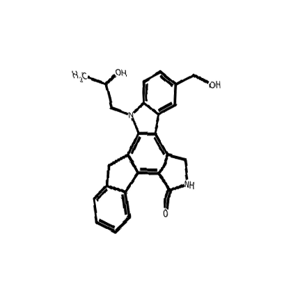 CC(O)Cn1c2ccc(CO)cc2c2c3c(c4c(c21)Cc1ccccc1-4)C(=O)NC3